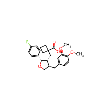 COc1ccc(C[C@H]2CO[C@H](c3ccc(F)cc3)[C@@H]2CC2(C(=O)O)CCC2)cc1OC